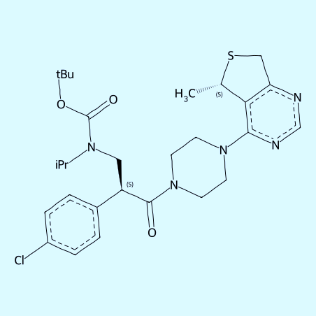 CC(C)N(C[C@@H](C(=O)N1CCN(c2ncnc3c2[C@H](C)SC3)CC1)c1ccc(Cl)cc1)C(=O)OC(C)(C)C